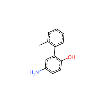 Cc1ccccc1-c1cc(N)ccc1O